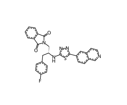 O=C1c2ccccc2C(=O)N1C[C@@H](Cc1ccc(F)cc1)Nc1nnc(-c2ccc3cnccc3c2)s1